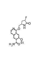 CCOc1cc2c(OCC3CC(F)C(=O)N3)nccc2cc1C(N)=O